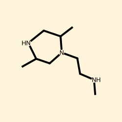 CNCCN1CC(C)NCC1C